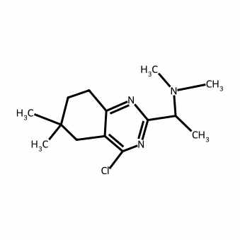 CC(c1nc(Cl)c2c(n1)CCC(C)(C)C2)N(C)C